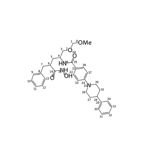 COCOCC(CC(Cc1ccccc1)C(=O)NO)NC(=O)c1ccc(N2CCC(c3ccccc3)CC2)cc1